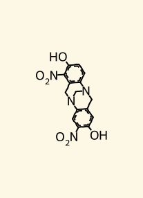 O=[N+]([O-])c1cc2c(cc1O)CN1CN2Cc2c1ccc(O)c2[N+](=O)[O-]